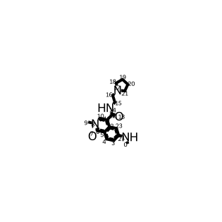 CNc1ccc2c(=O)n(C)cc(C(=O)NCCN3CCCC3)c2c1